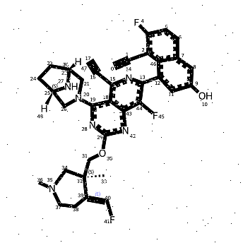 C#Cc1c(F)ccc2cc(O)cc(-c3nc(C#C)c4c(N5C[C@H]6CC[C@@H](C5)N6)nc(OC[C@]5(C)CN(C)CC/C5=C\F)nc4c3F)c12